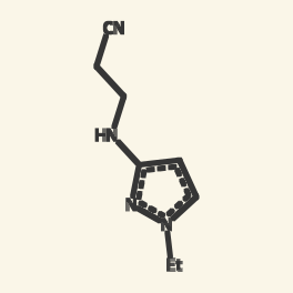 CCn1ccc(NCCC#N)n1